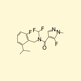 CC(C)c1cccc(F)c1CN(C(=O)c1cnn(C)c1F)C(F)F